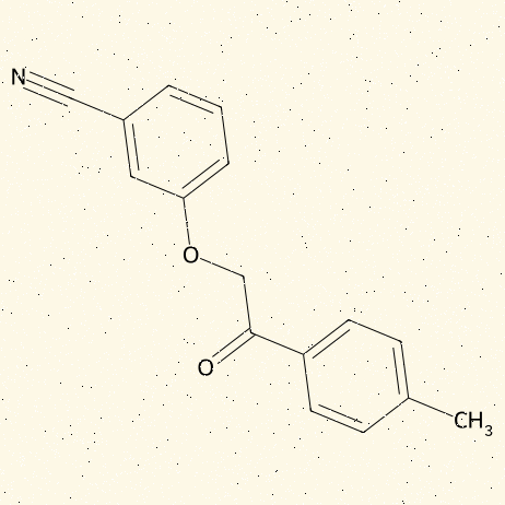 Cc1ccc(C(=O)COc2cccc(C#N)c2)cc1